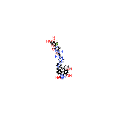 CC(C)c1cc(-c2nnc(O)n2-c2ccc(CN3CCN(c4ncnc(NCC(=O)Nc5ccn([C@@H]6O[C@H](CO)[C@@H](O)C6(F)F)c(=O)n5)n4)CC3)cc2)c(O)cc1O